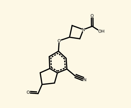 N#Cc1cc(OC2CN(C(=O)O)C2)cc2c1CC(C=O)C2